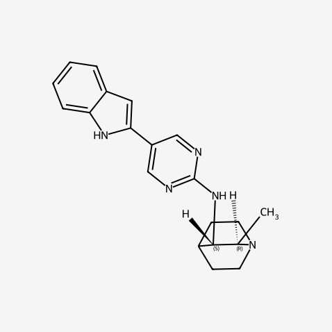 C[C@@H]1[C@@H](Nc2ncc(-c3cc4ccccc4[nH]3)cn2)C2CCN1CC2